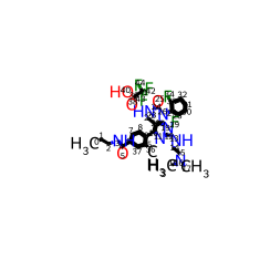 CCCNC(=O)c1ccc(-c2nc(NCCN(C)C)nc3c2CNC(=O)N3c2c(F)cccc2F)c(C)c1.O=C(O)C(F)(F)F